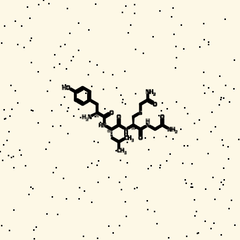 CC(C)C[C@H](NC(=O)[C@@H](N)Cc1ccc(O)cc1)C(=O)N[C@@H](CSCC(N)=O)C(=O)NCC(N)=O